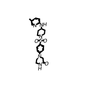 Cc1ccc(NC2CCN(S(=O)(=O)c3ccc(N4CCNC(=O)C4)cc3)CC2)nc1